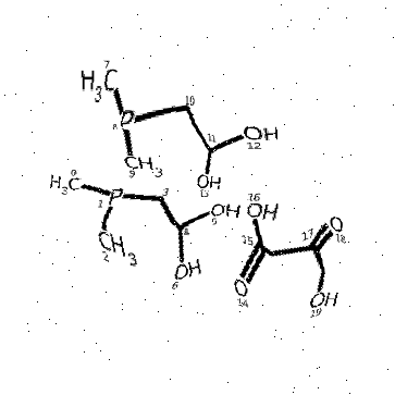 CP(C)CC(O)O.CP(C)CC(O)O.O=C(O)C(=O)O